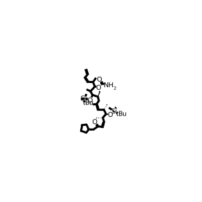 C=C/C=C\C(C)C(OC(N)=O)C(C)C(O[Si](C)(C)C(C)(C)C)[C@@H](C)C/C(C)=C\[C@H](C)[C@@H](O[Si](C)(C)C(C)(C)C)[C@@H](C)/C=C\C(=O)CC1CCCC1